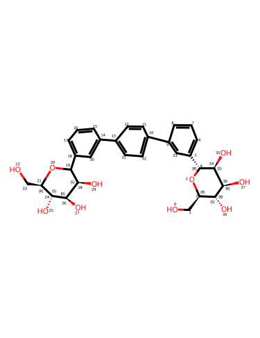 OC[C@H]1O[C@H](c2cccc(-c3ccc(-c4cccc(C5O[C@H](CO)[C@@H](O)[C@H](O)[C@@H]5O)c4)cc3)c2)[C@@H](O)[C@@H](O)[C@@H]1O